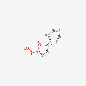 O=[C]c1ccc(-c2ccccc2)o1